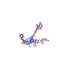 COC(=O)Cc1ccc(Nc2nc(NCCOCCOCCNC(=O)c3ccccc3)nc(Nc3ccc(C(=O)NCc4ccccc4)cc3)n2)cc1